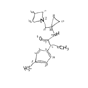 Cc1ccc(C(C)C(=O)NC2(CN3CCC3)CC2)cc1